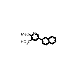 COc1ncc(-c2ccc3ccccc3c2)cc1C(=O)O